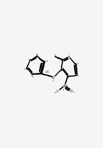 Cc1nccc([N+](=O)[O-])c1Oc1ccccc1